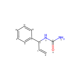 C=CC(NC(N)=O)c1ccccc1